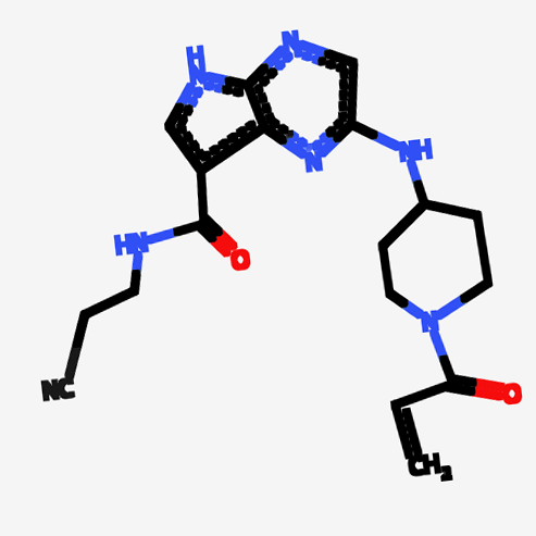 C=CC(=O)N1CCC(Nc2cnc3[nH]cc(C(=O)NCCC#N)c3n2)CC1